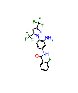 Nc1cc(NC(=O)c2ccccc2F)ccc1-n1nc(C(F)(F)F)cc1C(F)(F)F